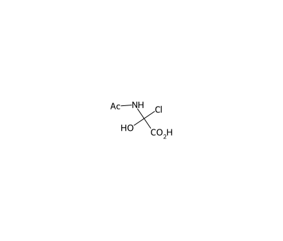 CC(=O)NC(O)(Cl)C(=O)O